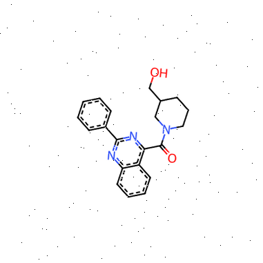 O=C(c1nc(-c2ccccc2)nc2ccccc12)N1CCCC(CO)C1